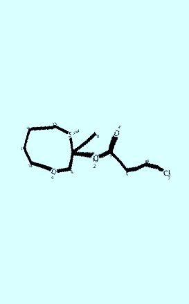 CC1(OC(=O)CCCl)COCCCCS1